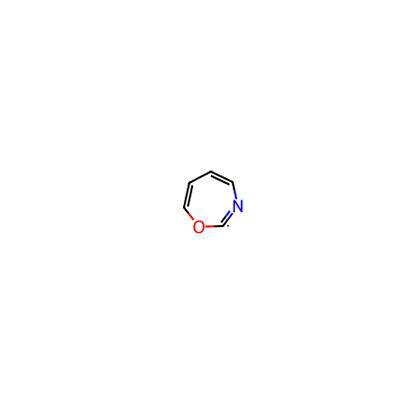 [C]1=NC=CC=CO1